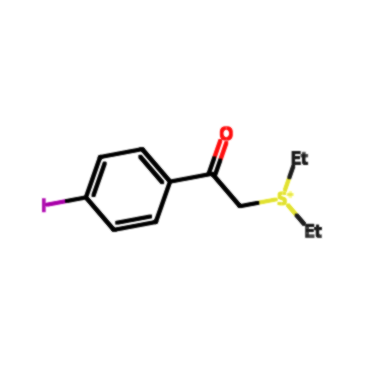 CC[S+](CC)CC(=O)c1ccc(I)cc1